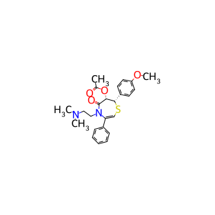 COc1ccc([C@@H]2SC=C(c3ccccc3)N(CCN(C)C)C(=O)[C@@H]2OC(C)=O)cc1